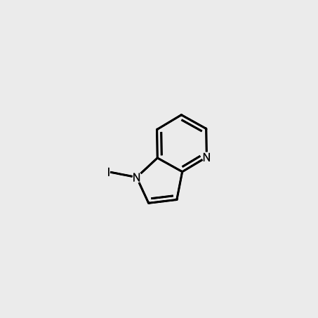 In1ccc2ncccc21